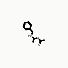 CC(=O)OC(C)NCc1ccccc1